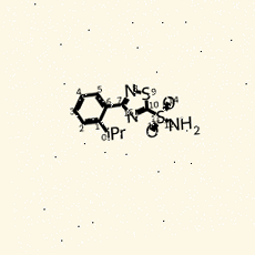 CC(C)c1ccccc1-c1nsc(S(N)(=O)=O)n1